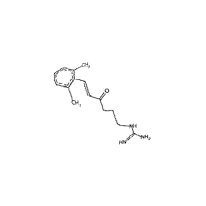 Cc1cccc(C)c1C=CC(=O)CCCNC(=N)N